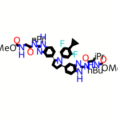 CCCCN(C(=O)C(NC(=O)OC)C(C)C)c1nc2cc([C@H]3CC[C@H](c4ccc5[nH]c(N(CCC)C(=O)CNC(=O)OC)nc5c4)N3c3cc(F)c(C4CC4)c(F)c3)ccc2[nH]1